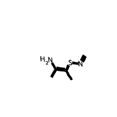 C=NS/C(C)=C(/C)N